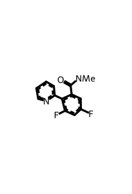 CNC(=O)c1cc(F)cc(F)c1-c1ccccn1